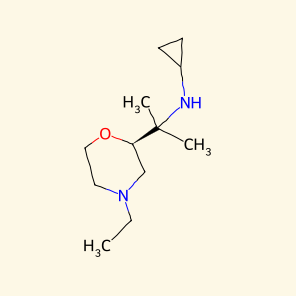 CCN1CCO[C@@H](C(C)(C)NC2CC2)C1